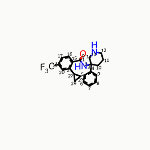 O=C(NC1(c2ccccc2)CCCNC1)c1ccc(C(F)(F)F)cc1C1CC1